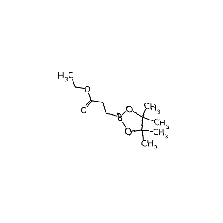 CCOC(=O)CCB1OC(C)(C)C(C)(C)O1